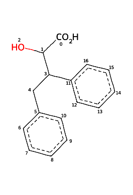 O=C(O)C(O)C(Cc1ccccc1)c1ccccc1